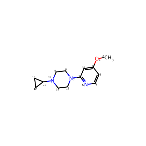 COc1ccnc(N2CCN(C3CC3)CC2)c1